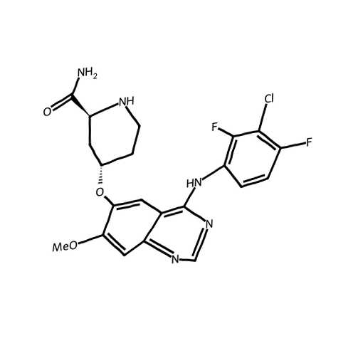 COc1cc2ncnc(Nc3ccc(F)c(Cl)c3F)c2cc1O[C@H]1CCN[C@H](C(N)=O)C1